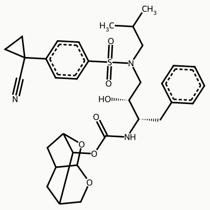 CC(C)CN(C[C@@H](O)[C@H](Cc1ccccc1)NC(=O)OC1C2COC3OC1CC3C2)S(=O)(=O)c1ccc(C2(C#N)CC2)cc1